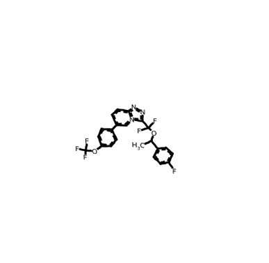 CC(OC(F)(F)c1nnc2ccc(-c3ccc(OC(F)(F)F)cc3)cn12)c1ccc(F)cc1